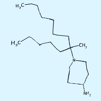 CCCCCCC(C)(CCCCC)N1CCC(N)CC1